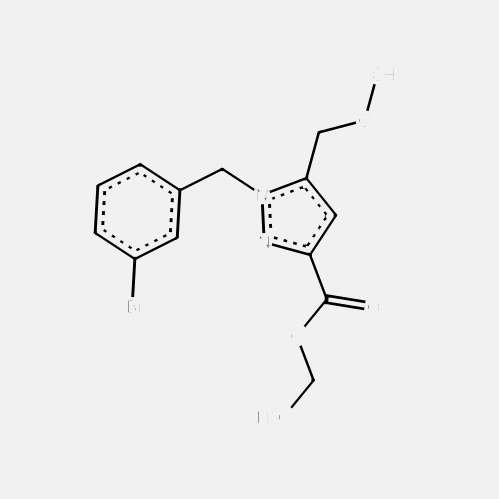 CCOC(=O)c1cc(COC)n(Cc2cccc(Br)c2)n1